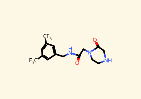 O=C(CN1CCNCC1=O)NCc1cc(C(F)(F)F)cc(C(F)(F)F)c1